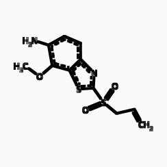 C=CCS(=O)(=O)c1nc2ccc(N)c(OC)c2s1